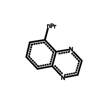 [CH2]CCc1cccc2nccnc12